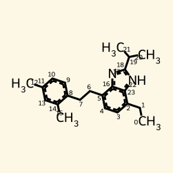 CCc1ccc(CCc2ccc(C)cc2C)c2nc(C(C)C)[nH]c12